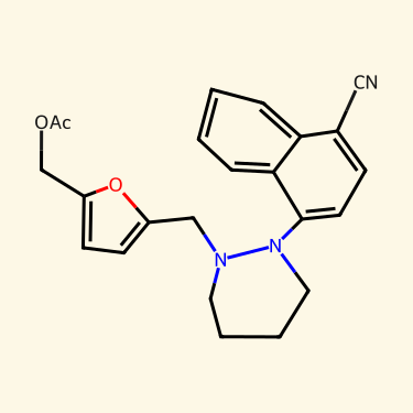 CC(=O)OCc1ccc(CN2CCCCN2c2ccc(C#N)c3ccccc23)o1